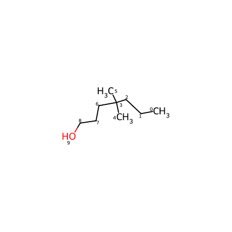 CCCC(C)(C)CCCO